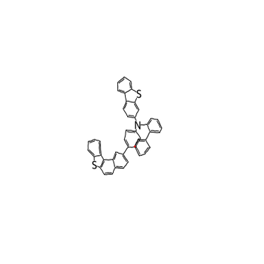 c1ccc(-c2ccccc2N(c2ccc(-c3ccc4ccc5sc6ccccc6c5c4c3)cc2)c2ccc3c(c2)sc2ccccc23)cc1